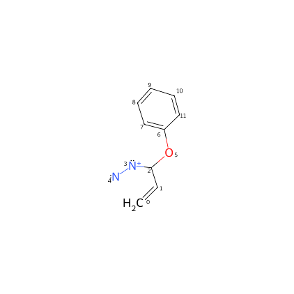 C=CC([N+][N])Oc1ccccc1